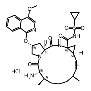 COc1cnc(O[C@@H]2C[C@H]3C(=O)N[C@]4(C(=O)NS(=O)(=O)C5CC5)C[C@H]4/C=C\C(C)CCC[C@@H](C)[C@H](N)C(=O)N3C2)c2ccccc12.Cl